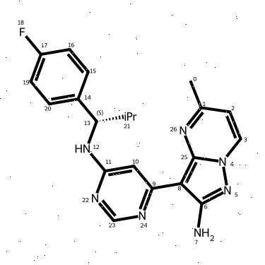 Cc1ccn2nc(N)c(-c3cc(N[C@H](c4ccc(F)cc4)C(C)C)ncn3)c2n1